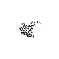 Cl.NCC1CCC(C(=O)N[C@@H](Cc2ccc(-c3ccccc3NC(=O)C3CCOCC3)cc2)C(=O)Nc2ccc(-c3nn[nH]n3)cc2)CC1